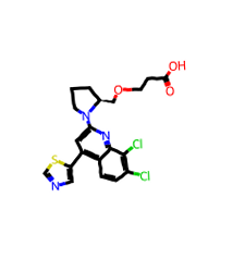 O=C(O)CCOC[C@@H]1CCCN1c1cc(-c2cncs2)c2ccc(Cl)c(Cl)c2n1